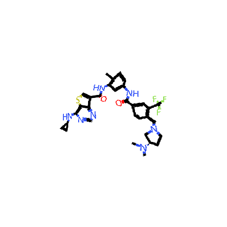 Cc1ccc(NC(=O)c2ccc(CN3CC[C@H](N(C)C)C3)c(C(F)(F)F)c2)cc1NC(=O)c1csc2c(NC3CC3)ncnc12